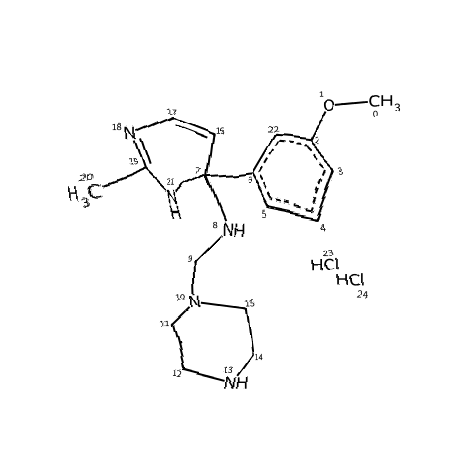 COc1cccc(C2(NCN3CCNCC3)C=CN=C(C)N2)c1.Cl.Cl